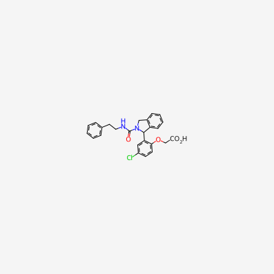 O=C(O)COc1ccc(Cl)cc1C1c2ccccc2CN1C(=O)NCCc1ccccc1